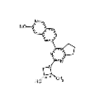 C[C@H]1[C@H](O)CN1c1nc2c(c(-c3ccc4cnc(O)cc4c3)n1)CCC2